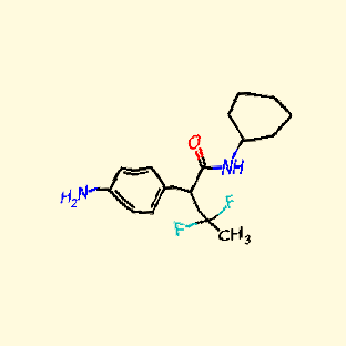 CC(F)(F)C(C(=O)NC1CCCCC1)c1ccc(N)cc1